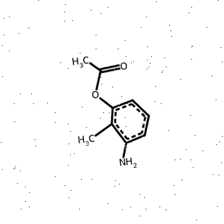 CC(=O)Oc1cccc(N)c1C